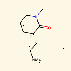 CNCC[C@@H]1CCCN(C)C1=O